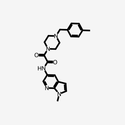 Cc1ccc(CN2CCN(C(=O)C(=O)Nc3cnc4c(ccn4C)c3)CC2)cc1